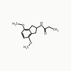 CCC(=O)NC1Cc2c(OC)ccc(OC)c2C1